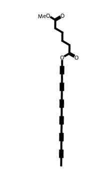 CC#CC#CC#CC#CC#CC#COC(=O)CCCCC(=O)OC